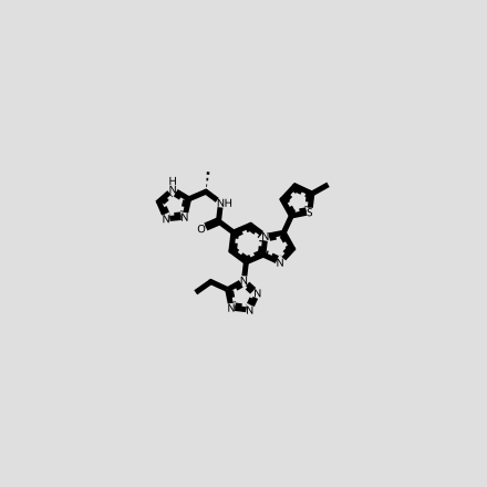 CCc1nnnn1-c1cc(C(=O)N[C@@H](C)c2nnc[nH]2)cn2c(-c3ccc(C)s3)cnc12